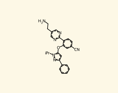 CC(C)n1nc(-c2ccccc2)cc1Oc1cc(C#N)ccc1-c1ncc(CCN)cn1